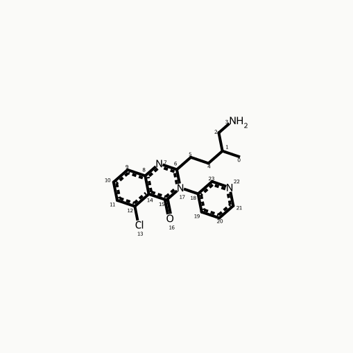 CC(CN)CCc1nc2cccc(Cl)c2c(=O)n1-c1cccnc1